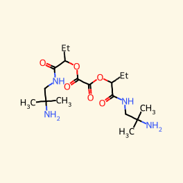 CCC(OC(=O)C(=O)OC(CC)C(=O)NCC(C)(C)N)C(=O)NCC(C)(C)N